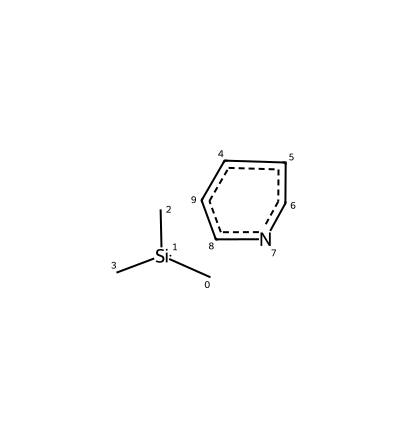 C[Si](C)C.c1ccncc1